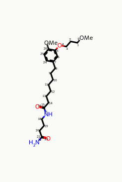 COCCCOc1cc(CCCCCCCC(=O)NCCCC(N)=O)ccc1OC